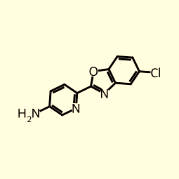 Nc1ccc(-c2nc3cc(Cl)ccc3o2)nc1